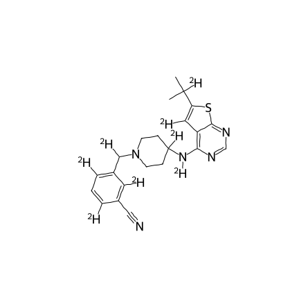 [2H]c1cc([2H])c(C([2H])N2CCC([2H])(N([2H])c3ncnc4sc(C([2H])(C)C)c([2H])c34)CC2)c([2H])c1C#N